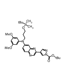 COc1cc(OC)cc(N(CCCO[Si](C)(C)C(C)(C)C)c2ccc3ncc(-c4cnn(C(=O)OC(C)(C)C)c4)nc3c2)c1